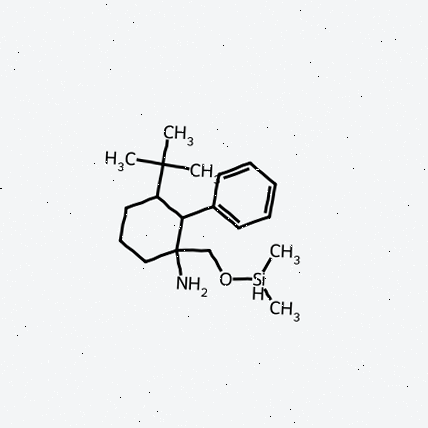 C[SiH](C)OCC1(N)CCCC(C(C)(C)C)C1c1ccccc1